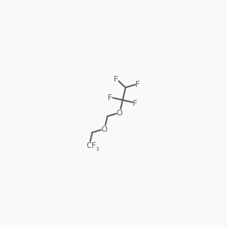 FC(F)C(F)(F)OCOCC(F)(F)F